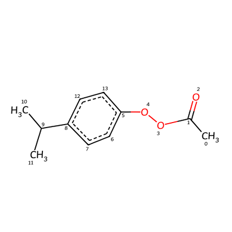 CC(=O)OOc1ccc(C(C)C)cc1